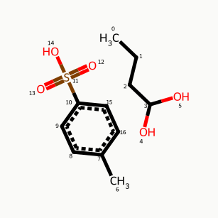 CCCC(O)O.Cc1ccc(S(=O)(=O)O)cc1